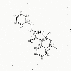 CN1CC(C)(C)N(C(=O)NCCc2ccccc2)c2ccccc21